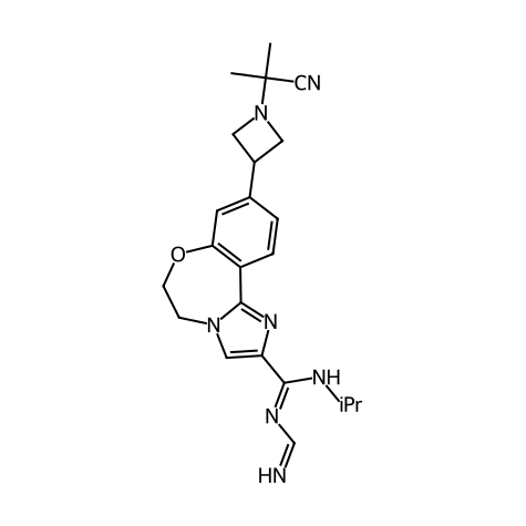 CC(C)N/C(=N\C=N)c1cn2c(n1)-c1ccc(C3CN(C(C)(C)C#N)C3)cc1OCC2